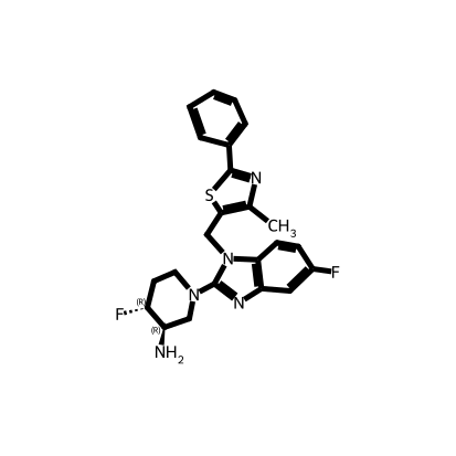 Cc1nc(-c2ccccc2)sc1Cn1c(N2CC[C@@H](F)[C@H](N)C2)nc2cc(F)ccc21